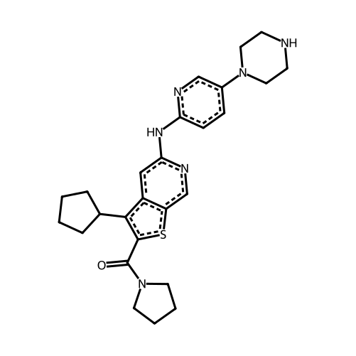 O=C(c1sc2cnc(Nc3ccc(N4CCNCC4)cn3)cc2c1C1CCCC1)N1CCCC1